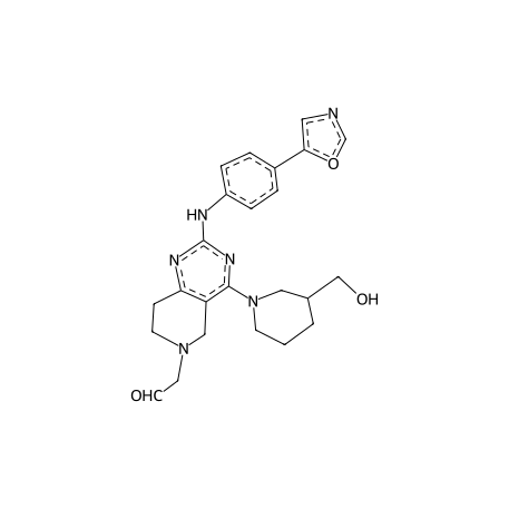 O=CCN1CCc2nc(Nc3ccc(-c4cnco4)cc3)nc(N3CCCC(CO)C3)c2C1